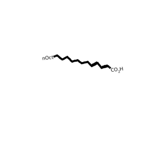 CCCCCCCCCCCCCCCC=CC=CC(=O)O